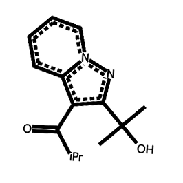 CC(C)C(=O)c1c(C(C)(C)O)nn2ccccc12